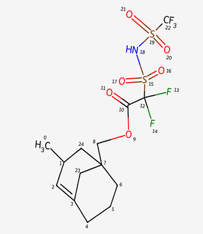 CC1C=C2CCCC(COC(=O)C(F)(F)S(=O)(=O)NS(=O)(=O)C(F)(F)F)(C2)C1